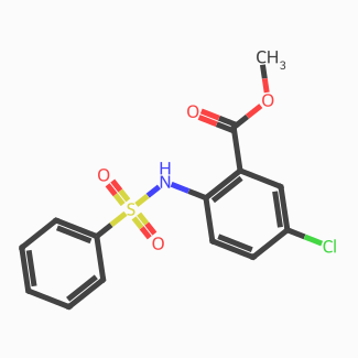 COC(=O)c1cc(Cl)ccc1NS(=O)(=O)c1ccccc1